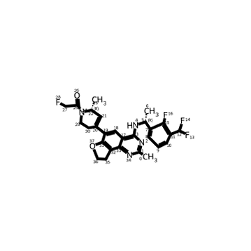 Cc1nc(N[C@H](C)c2cccc(C(F)F)c2F)c2cc(C3=C[C@@H](C)N(C(=O)CF)CC3)c3c(c2n1)CCO3